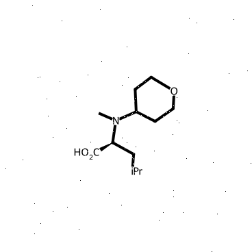 CC(C)C[C@@H](C(=O)O)N(C)C1CCOCC1